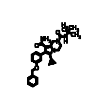 CC(C)(C)NC(=O)N1CCn2c(c(C(N)=O)c(-c3cccc(OCc4ccccc4)c3)c2C2CC2)C1